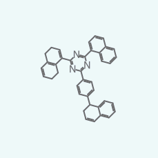 C1=CC2=C(CC1)C(c1nc(-c3ccc(C4CC=Cc5ccccc54)cc3)nc(-c3cccc4ccccc34)n1)=CCC2